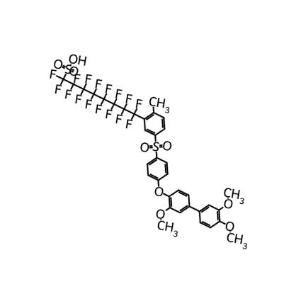 COc1ccc(-c2ccc(Oc3ccc(S(=O)(=O)c4ccc(C)c(C(F)(F)C(F)(F)C(F)(F)C(F)(F)C(F)(F)C(F)(F)C(F)(F)C(F)(F)S(=O)(=O)O)c4)cc3)c(OC)c2)cc1OC